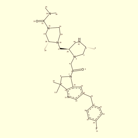 C[C@@H]1CN(CC(=O)N2CC(C)(C)c3ncc(Cc4ccc(F)cc4)cc32)[C@@H](CN2CCN(C(=O)N(C)C)C[C@H]2C)CN1